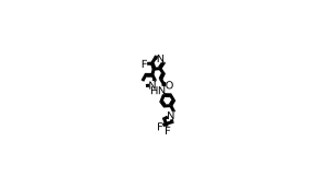 C/C=C(\C=N/C)c1c(F)cncc1/C=C/C(=O)Nc1ccc(CN2CC(F)(F)C2)cc1